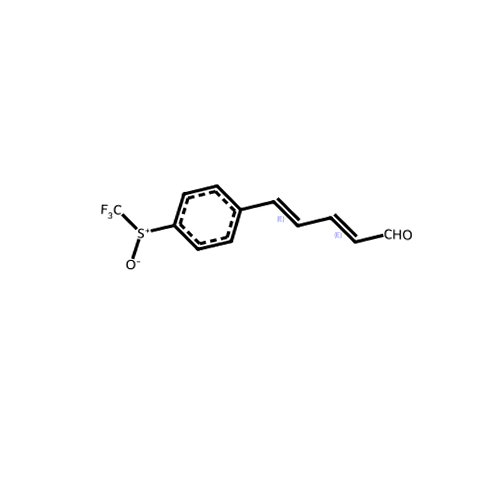 O=C/C=C/C=C/c1ccc([S+]([O-])C(F)(F)F)cc1